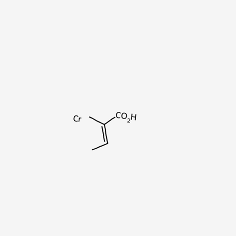 CC=C(C)C(=O)O.[Cr]